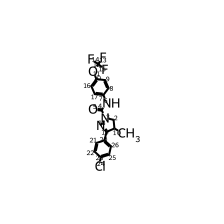 CC1CN(C(=O)Nc2ccc(OC(F)(F)F)cc2)N=C1c1ccc(Cl)cc1